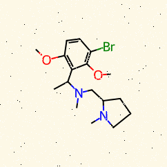 COc1ccc(Br)c(OC)c1C(C)N(C)CC1CCCN1C